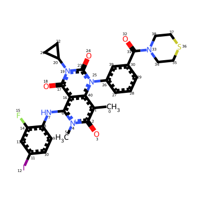 Cc1c(=O)n(C)c(Nc2ccc(I)cc2F)c2c(=O)n(C3CC3)c(=O)n(-c3cccc(C(=O)N4CCSCC4)c3)c12